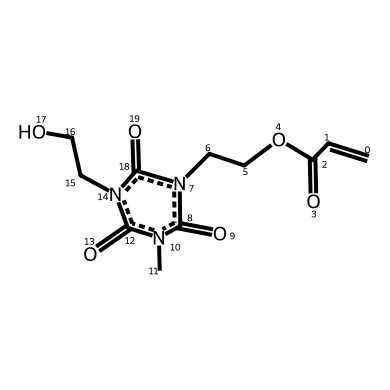 C=CC(=O)OCCn1c(=O)n(C)c(=O)n(CCO)c1=O